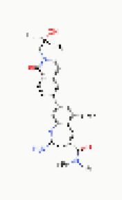 CCCN(CCC)C(=O)C1=Cc2c(cc(-c3ccc4c(=O)n(CC(C)(C)O)ccc4c3)cc2OC)N=C(N)C1